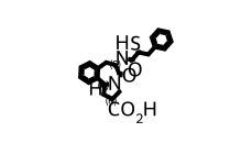 O=C(N[C@H]1Cc2ccccc2[C@H]2C[C@@H](C(=O)O)CN2C1=O)C(=S)Cc1ccccc1